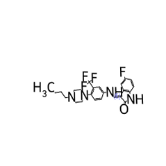 CCCCN1CCN(c2ccc(N/C=C3/C(=O)Nc4ccc(F)cc43)cc2C(F)(F)F)CC1